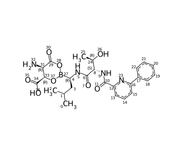 CC(C)C[C@H](NC(=O)[C@@H](NC(=O)c1cccc(-c2ccccc2)n1)[C@@H](C)O)B1OC(=O)[C@H](N)[C@H](C(=O)O)O1